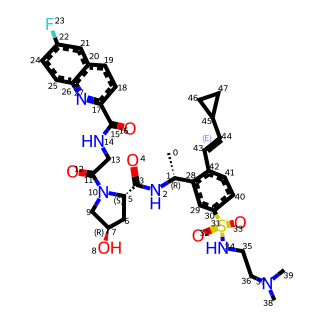 C[C@@H](NC(=O)[C@@H]1C[C@@H](O)CN1C(=O)CNC(=O)c1ccc2cc(F)ccc2n1)c1cc(S(=O)(=O)NCCN(C)C)ccc1/C=C/C1CC1